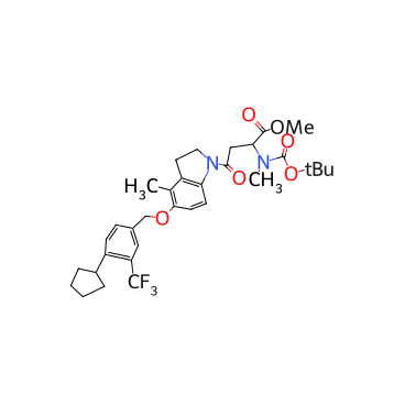 COC(=O)C(CC(=O)N1CCc2c1ccc(OCc1ccc(C3CCCC3)c(C(F)(F)F)c1)c2C)N(C)C(=O)OC(C)(C)C